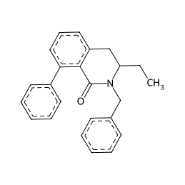 CCC1Cc2cccc(-c3ccccc3)c2C(=O)N1Cc1ccccc1